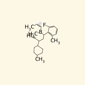 C#CC(CC(B(C)/C=C\C)c1c(C)cccc1F)C1CCC(C)CC1